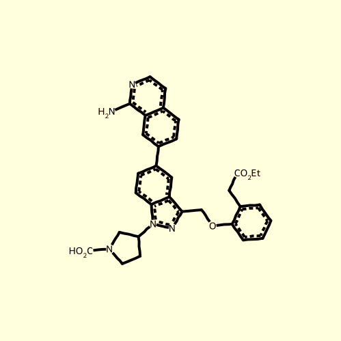 CCOC(=O)Cc1ccccc1OCc1nn(C2CCN(C(=O)O)C2)c2ccc(-c3ccc4ccnc(N)c4c3)cc12